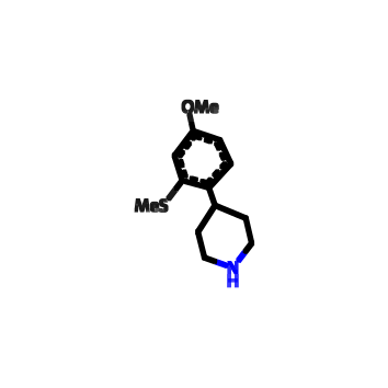 COc1ccc(C2CCNCC2)c(SC)c1